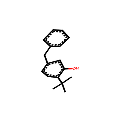 CC(C)(C)c1ccc(Cc2ccccc2)cc1O